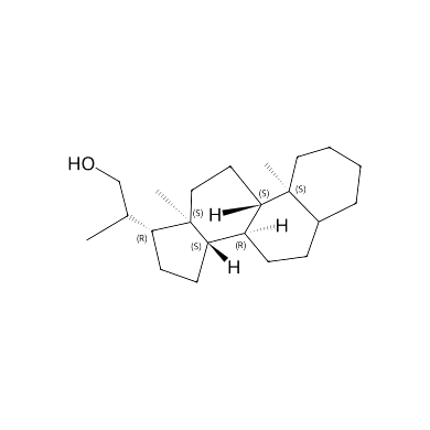 CC(CO)[C@H]1CC[C@H]2[C@@H]3CCC4CCCC[C@]4(C)[C@H]3CC[C@]12C